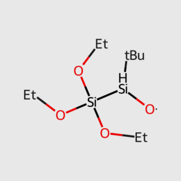 CCO[Si](OCC)(OCC)[SiH]([O])C(C)(C)C